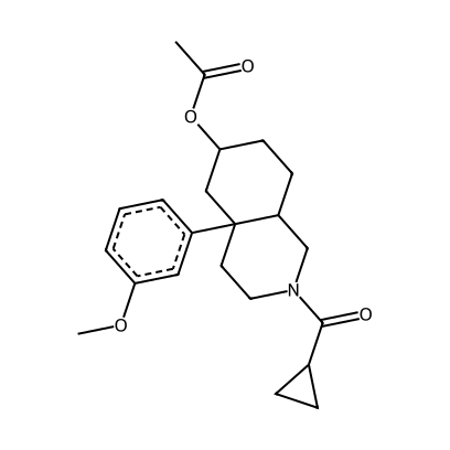 COc1cccc(C23CCN(C(=O)C4CC4)CC2CCC(OC(C)=O)C3)c1